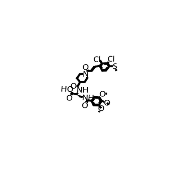 COc1cc(C(=O)NC[C@H](NC(=O)C2CCN(C(=O)/C=C/c3ccc(SC)c(Cl)c3Cl)CC2)C(=O)O)cc(OC)c1OC